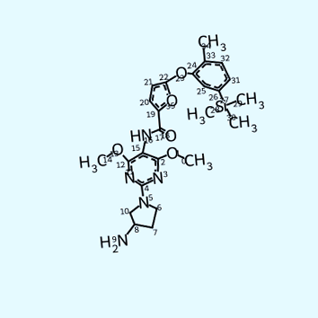 COc1nc(N2CCC(N)C2)nc(OC)c1NC(=O)c1ccc(Oc2cc([Si](C)(C)C)ccc2C)o1